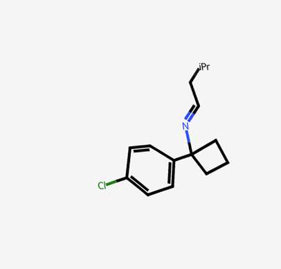 CC(C)CC=NC1(c2ccc(Cl)cc2)CCC1